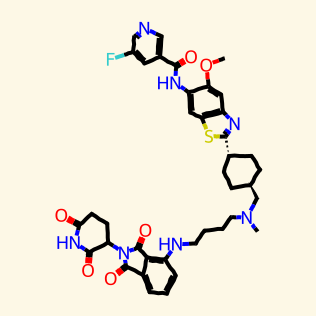 COc1cc2nc([C@H]3CC[C@H](CN(C)CCCCNc4cccc5c4C(=O)N(C4CCC(=O)NC4=O)C5=O)CC3)sc2cc1NC(=O)c1cncc(F)c1